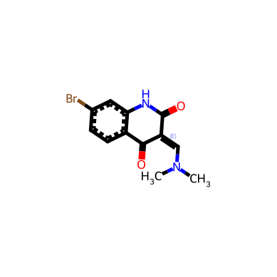 CN(C)/C=C1/C(=O)Nc2cc(Br)ccc2C1=O